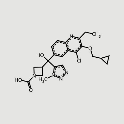 CCc1nc2ccc(C(O)(c3cnnn3C)C3CN(C(=O)O)C3)cc2c(Cl)c1OCC1CC1